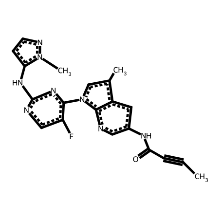 CC#CC(=O)Nc1cnc2c(c1)c(C)cn2-c1nc(Nc2ccnn2C)ncc1F